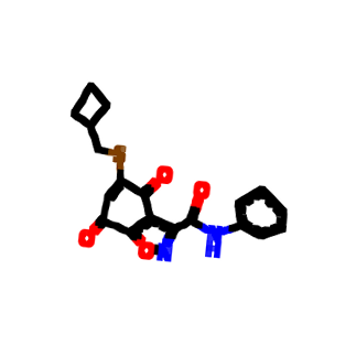 O=C(Nc1ccccc1)c1noc2c1C(=O)C(SCC1CCC1)=CC2=O